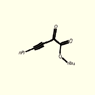 CCCC#CC(=O)C(=O)OCCCC